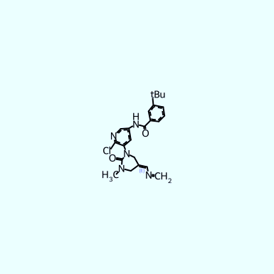 C=N/C=C1\CN(C)C(=O)N(c2cc(NC(=O)c3cccc(C(C)(C)C)c3)cnc2Cl)C1